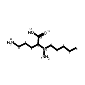 CCCCCN(N)C(CCCN)C(=O)O